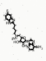 CC(C)N(CCCCc1nc2cc(F)ccc2[nH]1)C[C@H]1O[C@@H](n2cnc3c(N)ccnc32)[C@H](O)[C@@H]1O